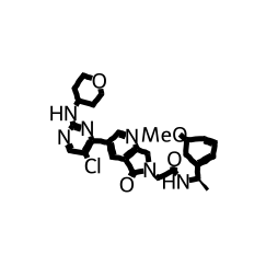 COC1C=CC=C([C@@H](C)NC(=O)CN2Cc3ncc(-c4nc(NC5CCOCC5)ncc4Cl)cc3C2=O)C1